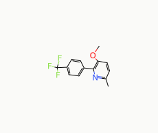 COc1ccc(C)nc1-c1ccc(C(F)(F)F)cc1